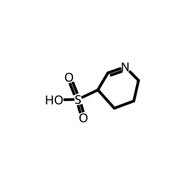 O=S(=O)(O)C1C=NCCC1